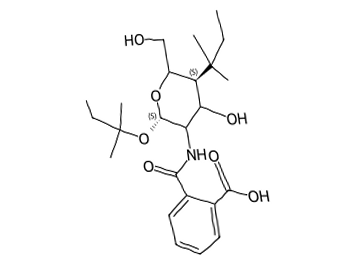 CCC(C)(C)O[C@@H]1OC(CO)[C@@H](C(C)(C)CC)C(O)C1NC(=O)c1ccccc1C(=O)O